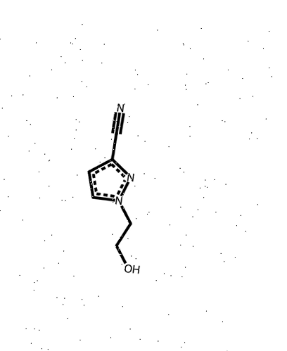 N#Cc1ccn(CCO)n1